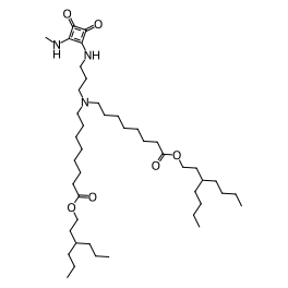 CCCCC(CCCC)CCOC(=O)CCCCCCCN(CCCCCCCC(=O)OCCC(CCC)CCC)CCCNc1c(NC)c(=O)c1=O